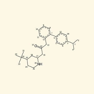 CC(C)c1ccc(-c2ccccc2CC(=O)CC2CC(C(C)(C)C)CCN2)cc1